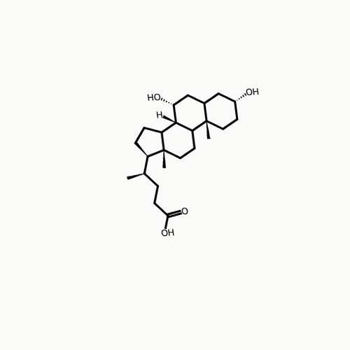 C[C@H](CCC(=O)O)[C@H]1CCC2[C@H]3C(CC[C@@]21C)[C@@]1(C)CC[C@@H](O)CC1C[C@H]3O